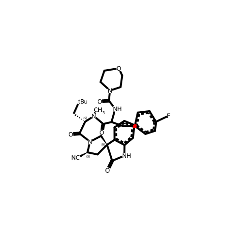 CN(C(=O)C(Cc1ccc(F)cc1)NC(=O)N1CCOCC1)[C@@H](CC(C)(C)C)C(=O)N1C[C@]2(C[C@H]1C#N)C(=O)Nc1ccccc12